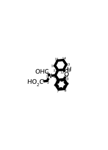 O=CN(CC(=O)O)C1c2ccccc2O[C@@H]2CCCCC12